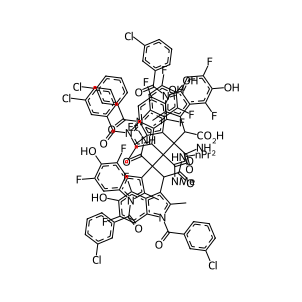 CCCNC(=O)C(c1c(C)n(C(=O)c2cccc(Cl)c2)c2cc(F)c(O)c(F)c12)C(C(=O)NCC)(c1c(C)n(C(=O)c2cccc(Cl)c2)c2cc(F)c(O)c(F)c12)C(C(=O)NC)(c1c(C)n(C(=O)c2cccc(Cl)c2)c2cc(F)c(O)c(F)c12)C(C(N)=O)(c1c(C)n(C(=O)c2cccc(Cl)c2)c2cc(F)c(O)c(F)c12)C(C(=O)O)c1c(C)n(C(=O)c2cccc(Cl)c2)c2cc(F)c(O)c(F)c12